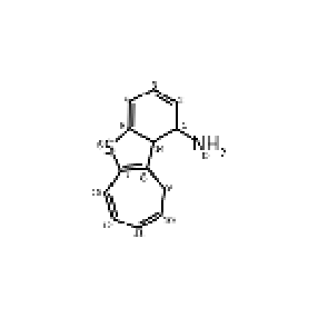 NC1C=CC=C2SC3=C(CC=CC=C3)C21